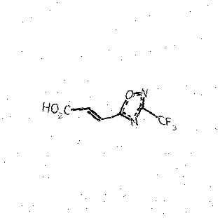 O=C(O)C=Cc1nc(C(F)(F)F)no1